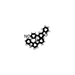 N#Cc1ccc(-c2ccc3oc4ccccc4c3c2)c(-n2c3ccccc3c3ccc4sc5ccccc5c4c32)c1